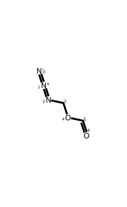 [N-]=[N+]=NCO[C]=O